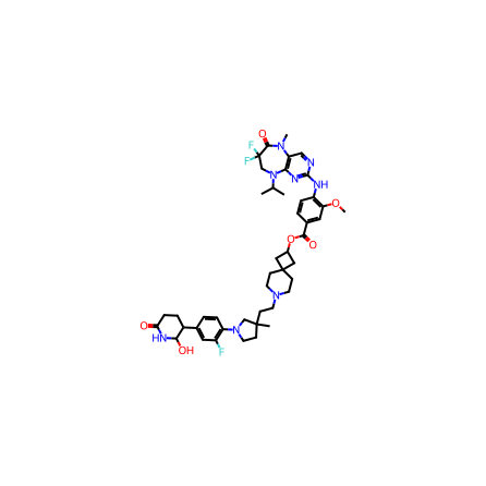 COc1cc(C(=O)OC2CC3(CCN(CCC4(C)CCN(c5ccc(C6CCC(=O)NC6O)cc5F)C4)CC3)C2)ccc1Nc1ncc2c(n1)N(C(C)C)CC(F)(F)C(=O)N2C